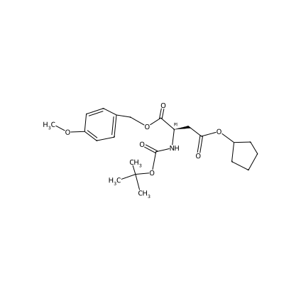 COc1ccc(COC(=O)[C@@H](CC(=O)OC2CCCC2)NC(=O)OC(C)(C)C)cc1